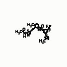 CC(=O)Nc1ncc(C#Cc2cc(C(=O)Nc3cc(-n4cnc(C)c4)cc(C(F)(F)F)c3)ccc2C)s1